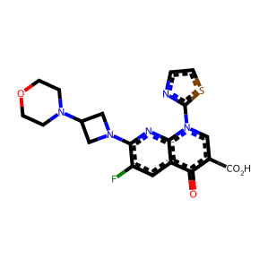 O=C(O)c1cn(-c2nccs2)c2nc(N3CC(N4CCOCC4)C3)c(F)cc2c1=O